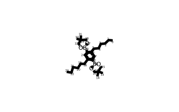 CCCCCCc1cc(B2OCC(C)(C)CO2)c(CCCCCC)cc1B1OCC(C)(C)CO1